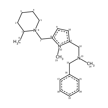 CC1CCCCN1Cc1ccc(CN(C)Cc2ccccc2)n1C